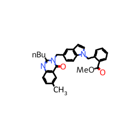 CCCCc1nc2ccc(C)cc2c(=O)n1Cc1ccc2c(ccn2Cc2ccccc2C(=O)OC)c1